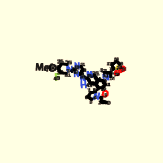 C=CC(=O)N1CCC[C@H]1c1ccc(N2CC([C@@H]3CCCS3(=O)=O)C2)c2cnc(Nc3ccnc(N4CC[C@@H](OC)[C@@H](F)C4)n3)cc12